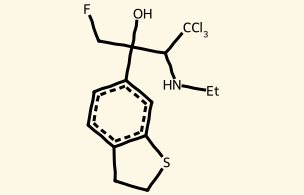 CCNC(C(Cl)(Cl)Cl)C(O)(CF)c1ccc2c(c1)SCC2